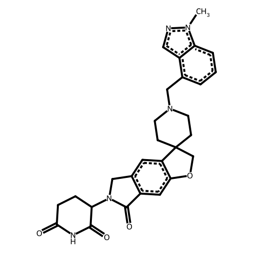 Cn1ncc2c(CN3CCC4(CC3)COc3cc5c(cc34)CN(C3CCC(=O)NC3=O)C5=O)cccc21